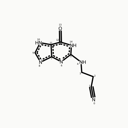 N#CCCNc1nc2nc[nH]c2c(=O)[nH]1